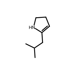 CC(C)CC1=CCCN1